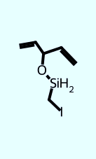 C=CC(C=C)O[SiH2]CI